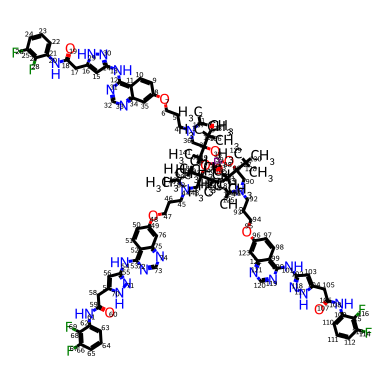 CC(C)N(CCCOc1ccc2c(Nc3cc(CC(=O)Nc4cccc(F)c4F)[nH]n3)ncnc2c1)CC(OP(=O)(OC(CN(CCCOc1ccc2c(Nc3cc(CC(=O)Nc4cccc(F)c4F)[nH]n3)ncnc2c1)C(C)C)(C(C)(C)C)C(C)(C)C)OC(CN(CCCOc1ccc2c(Nc3cc(CC(=O)Nc4cccc(F)c4F)[nH]n3)ncnc2c1)C(C)C)(C(C)(C)C)C(C)(C)C)(C(C)(C)C)C(C)(C)C